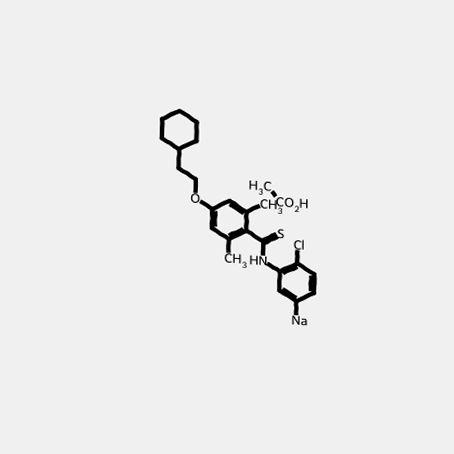 CC(=O)O.Cc1cc(OCCC2CCCCC2)cc(C)c1C(=S)Nc1c[c]([Na])ccc1Cl